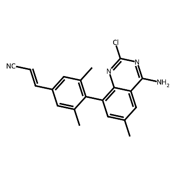 Cc1cc(-c2c(C)cc(C=CC#N)cc2C)c2nc(Cl)nc(N)c2c1